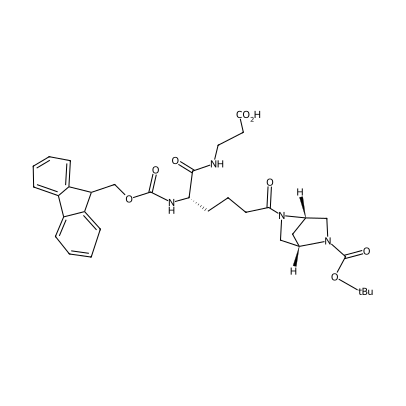 CC(C)(C)OC(=O)N1C[C@@H]2C[C@H]1CN2C(=O)CCC[C@H](NC(=O)OCC1c2ccccc2-c2ccccc21)C(=O)NCCC(=O)O